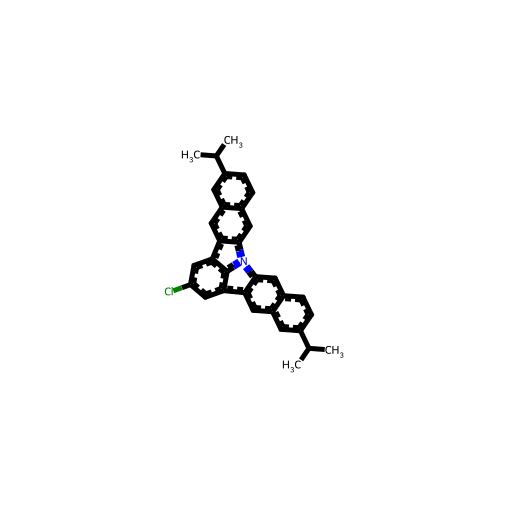 CC(C)c1ccc2cc3c(cc2c1)c1cc(Cl)cc2c4cc5cc(C(C)C)ccc5cc4n3c12